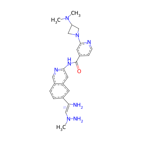 CN(N)/C=C(\N)c1ccc2cnc(NC(=O)c3ccnc(N4CC(N(C)C)C4)c3)cc2c1